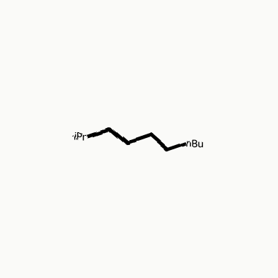 [CH2]CCCCCCC[C](C)C